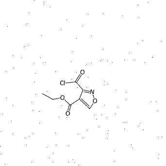 CCOC(=O)c1conc1C(=O)Cl